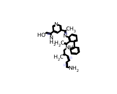 C=C(/C=C\C=C/N)CNC(=C)c1c(/N=C(\C)c2cncc(/C(N)=C/O)c2)cccc1-c1ccccc1